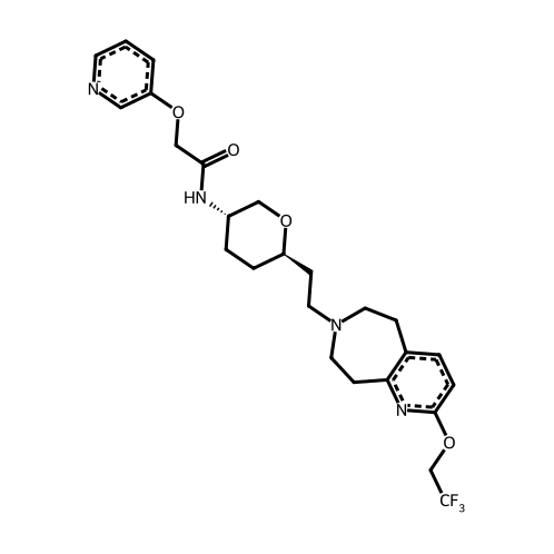 O=C(COc1cccnc1)N[C@H]1CC[C@H](CCN2CCc3ccc(OCC(F)(F)F)nc3CC2)OC1